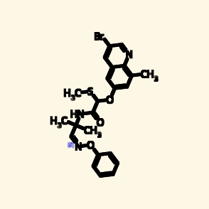 CSC(Oc1cc(C)c2ncc(Br)cc2c1)C(=O)NC(C)(C)/C=N\Oc1ccccc1